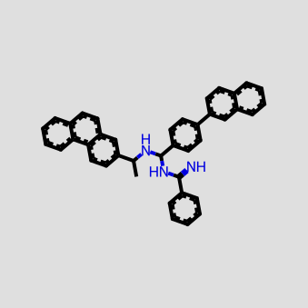 CC(NC(NC(=N)c1ccccc1)c1ccc(-c2ccc3ccccc3c2)cc1)c1ccc2c(ccc3ccccc32)c1